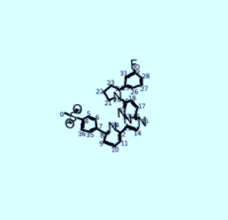 CS(=O)(=O)c1ccc(-c2cccc(-c3cnc4ccc(N5CCCC5c5cccc(F)c5)nn34)n2)cc1